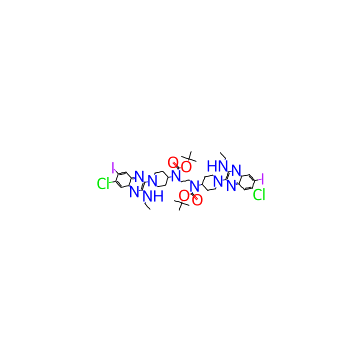 CCNc1nc2cc(I)c(Cl)cc2nc1N1CCC(N(CCN(C(=O)OC(C)(C)C)C2CCN(c3nc4cc(I)c(Cl)cc4nc3NCC)CC2)C(=O)OC(C)(C)C)CC1